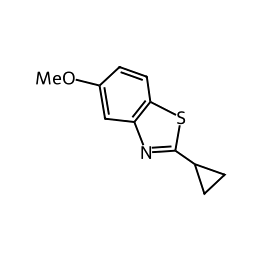 COc1ccc2sc(C3CC3)nc2c1